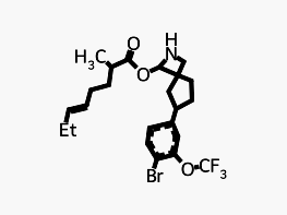 CCC=CCCC(C)C(=O)OC1NCC12CCC(c1ccc(Br)c(OC(F)(F)F)c1)C2